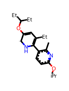 CCC1=C(c2ccc(OC(C)C)nc2C)N[CH]C(OC(CC)CC)=C1